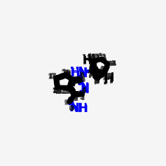 N=Cc1cnc(N[C@@H]2C[C@H]3CC[C@@H]2C3)c2c1CCC2